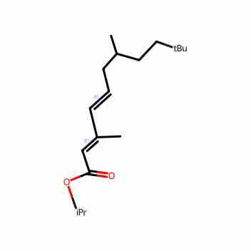 CC(/C=C/CC(C)CCC(C)(C)C)=C\C(=O)OC(C)C